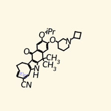 CC(C)Oc1cc2c(cc1OC1CCCN(C3CCC3)C1)C(C)(C)c1[nH]c3c(c1C2=O)CC/C=C/C(C#N)=C\3